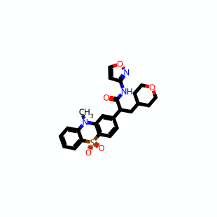 CN1c2ccccc2S(=O)(=O)c2ccc(C(CC3CCOCC3)C(=O)Nc3ccon3)cc21